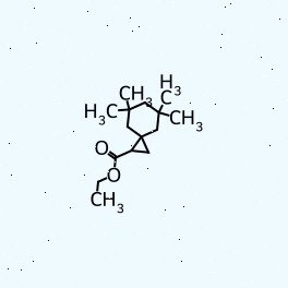 CCOC(=O)C1CC12CC(C)(C)CC(C)(C)C2